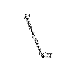 CCCCCCCC(CCCCC)OCCOCCOCCOCCOCCOCCOCCOCCOCCO